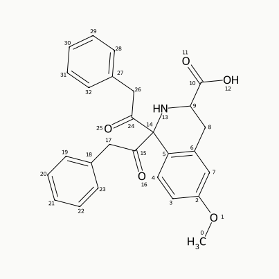 COc1ccc2c(c1)CC(C(=O)O)NC2(C(=O)Cc1ccccc1)C(=O)Cc1ccccc1